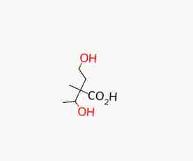 CC(O)C(C)(CCO)C(=O)O